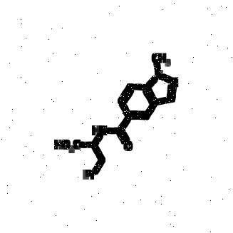 CC(C)CC(NC(=O)c1ccc2c(cnn2C)c1)C(=O)O